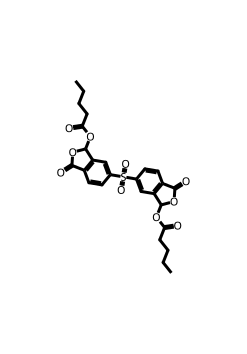 CCCCC(=O)OC1OC(=O)c2ccc(S(=O)(=O)c3ccc4c(c3)C(OC(=O)CCCC)OC4=O)cc21